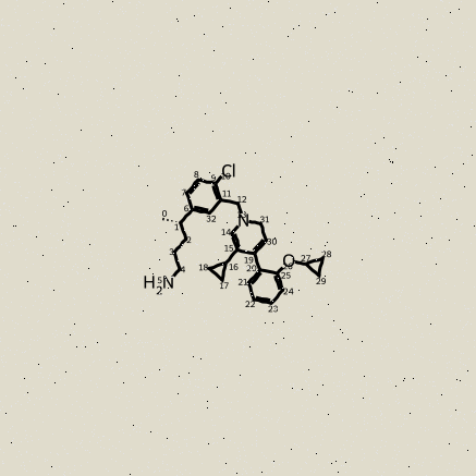 C[C@@H](CCCN)c1ccc(Cl)c(CN2C=C(C3CC3)C(c3ccccc3OC3CC3)=CC2)c1